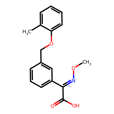 CO/N=C(/C(=O)O)c1cccc(COc2ccccc2C)c1